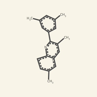 Cc1cc(C)cc(-c2nc3ccc(C)cc3cc2C)c1